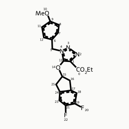 CCOC(=O)c1nnn(Cc2ccc(OC)cc2)c1OC1Cc2cc(F)c(F)cc2C1